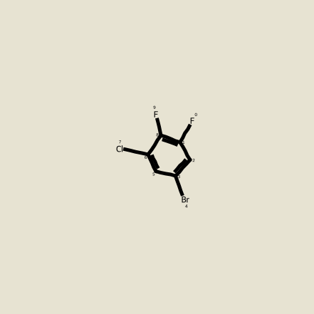 Fc1cc(Br)cc(Cl)c1F